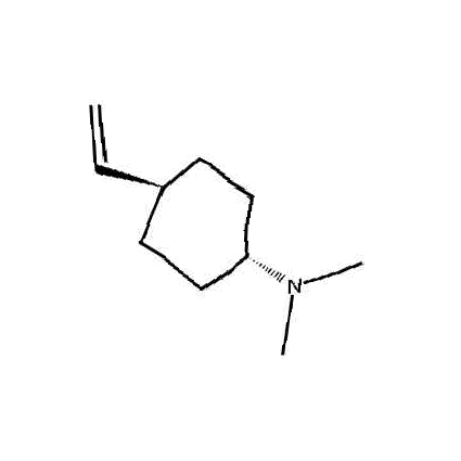 C=C[C@H]1CC[C@H](N(C)C)CC1